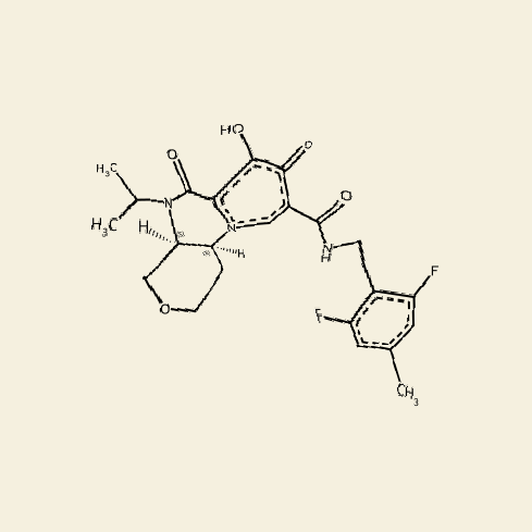 Cc1cc(F)c(CNC(=O)c2cn3c(c(O)c2=O)C(=O)N(C(C)C)[C@@H]2COCC[C@@H]23)c(F)c1